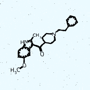 COc1ccc2[nH]c(C)c(C(=O)C3CCN(CCc4ccccc4)CC3)c2c1